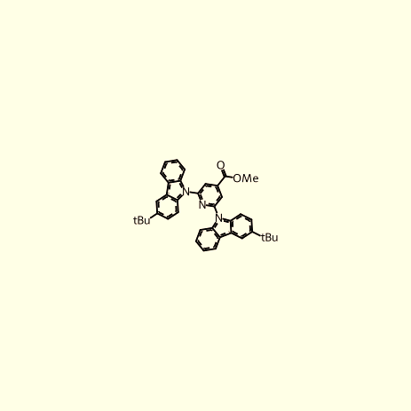 COC(=O)c1cc(-n2c3ccccc3c3cc(C(C)(C)C)ccc32)nc(-n2c3ccccc3c3cc(C(C)(C)C)ccc32)c1